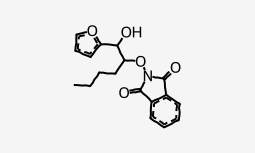 CCCCC(ON1C(=O)c2ccccc2C1=O)C(O)c1ccco1